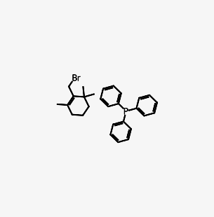 CC1=C(CBr)C(C)(C)CCC1.c1ccc(P(c2ccccc2)c2ccccc2)cc1